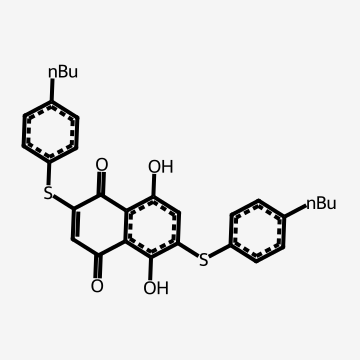 CCCCc1ccc(SC2=CC(=O)c3c(O)c(Sc4ccc(CCCC)cc4)cc(O)c3C2=O)cc1